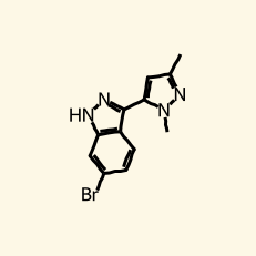 Cc1cc(-c2n[nH]c3cc(Br)ccc23)n(C)n1